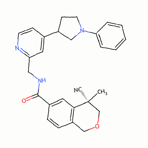 C[C@@]1(C#N)COCc2ccc(C(=O)NCc3cc(C4CCN(c5ccccc5)C4)ccn3)cc21